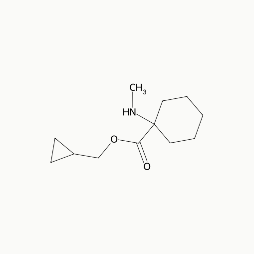 CNC1(C(=O)OCC2CC2)CCCCC1